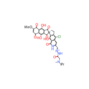 COC1=CC(=O)c2c(O)c3c(c(O)c2C1=O)C(=O)[C@]1(CCc2c1c(O)c1c(=O)[nH]c(/C=N/NC(=O)CN(C)C(C)C)cc1c2Cl)C3=O